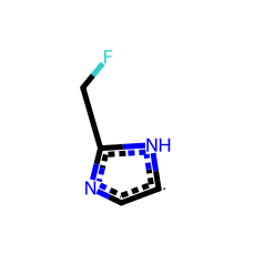 FCc1nc[c][nH]1